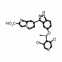 C[C@@H](Oc1ccc2[nH]nc(-c3ccn4cc(C(=O)O)nc4c3)c2c1)c1c(Cl)cncc1Cl